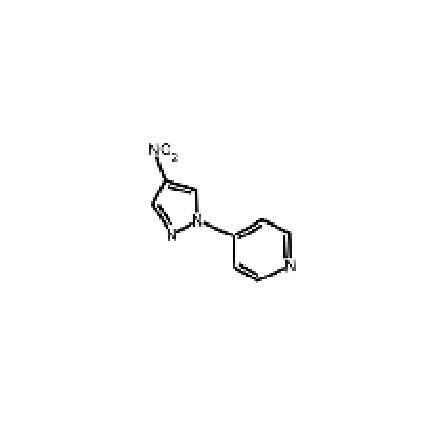 O=[N+]([O-])c1cnn(-c2ccncc2)c1